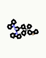 c1ccc([Si](c2ccccc2)(c2cccc(-c3cc(-n4c5ccccc5c5ccccc54)nc(-n4c5ccccc5c5ccccc54)c3)c2)c2ccc3sc4ccccc4c3c2)cc1